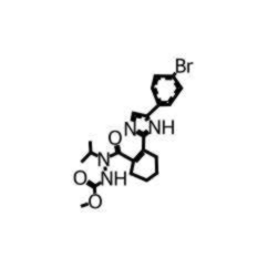 COC(=O)NN(C(=O)C1=C(c2ncc(-c3ccc(Br)cc3)[nH]2)CCCC1)C(C)C